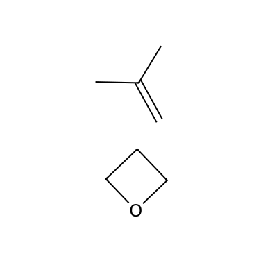 C1COC1.C=C(C)C